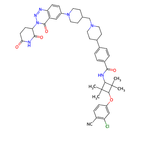 CC1(C)C(NC(=O)c2ccc(C3CCN(CC4CCN(c5ccc6nnn(C7CCC(=O)NC7=O)c(=O)c6c5)CC4)CC3)cc2)C(C)(C)C1Oc1ccc(C#N)c(Cl)c1